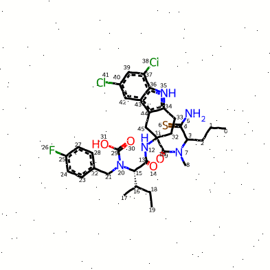 CCCC(C(N)=S)N(C)C(=O)C1(NC(=O)[C@H](C(C)CC)N(Cc2ccc(F)cc2)C(=O)O)CCc2[nH]c3c(Cl)cc(Cl)cc3c2C1